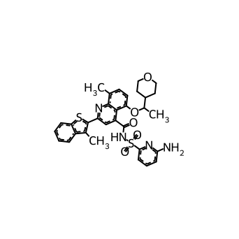 Cc1c(-c2cc(C(=O)NS(=O)(=O)c3cccc(N)n3)c3c(OC(C)C4CCOCC4)ccc(C)c3n2)sc2ccccc12